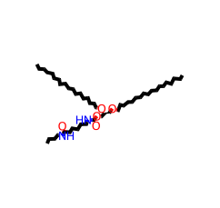 CCCCCCCCCCCCCCCCCCOC[C@@H](COC(=O)NCCCCCC(=O)NCCCC)OCCCCCCCCCCCCCCCCCC